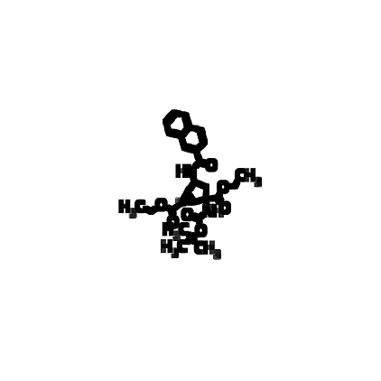 CCOC(=O)[C@H]1C2C(NC(=O)c3ccc4ccccc4c3)CC(NC(=O)OC(C)(C)C)(C(=O)OCC)C21